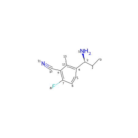 CC[C@H](N)c1ccc(F)c(C#N)c1C